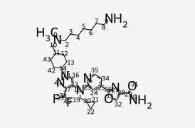 CN(CCCCCCCN)CC1CCC(n2cc(N(CC3CC3)c3cc(-c4nc(C(N)=O)co4)ccn3)c(C(F)F)n2)CC1